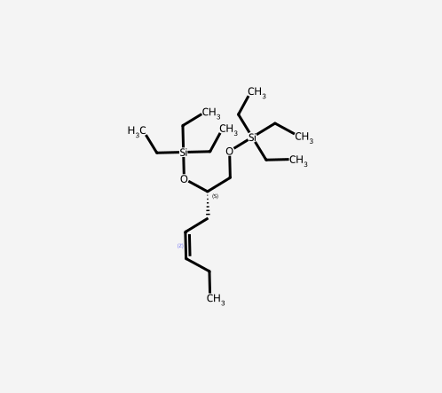 CC/C=C\C[C@@H](CO[Si](CC)(CC)CC)O[Si](CC)(CC)CC